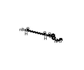 CCCCNC(=O)CCCCCCCCCCCCCC(=O)NCCC(=O)Oc1cccc2c1CC[C@H](N(CCC)CCc1cccs1)C2